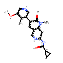 COc1cncc(-c2cc3cnc(NC(=O)C4CC4)cc3n(C)c2=O)c1C